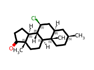 C[C@H]1CC[C@@]2(C)[C@H](C1)C[C@H](Cl)[C@@H]1[C@@H]2CC[C@]2(C)C(=O)CC[C@@H]12